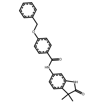 CC1(C)C(=O)Nc2cc(NC(=O)c3ccc(OCc4ccccc4)cc3)ccc21